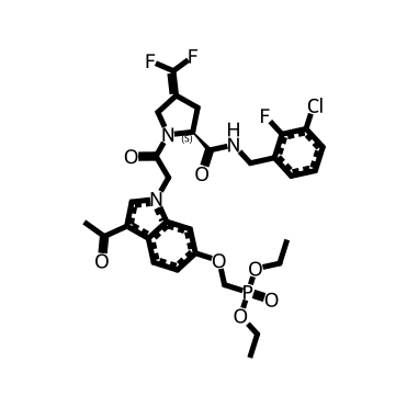 CCOP(=O)(COc1ccc2c(C(C)=O)cn(CC(=O)N3CC(=C(F)F)C[C@H]3C(=O)NCc3cccc(Cl)c3F)c2c1)OCC